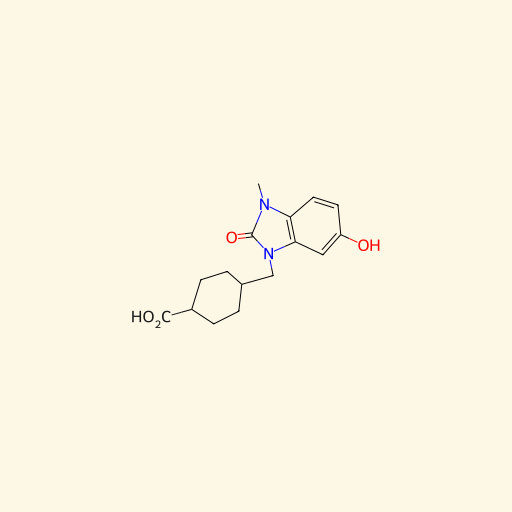 Cn1c(=O)n(CC2CCC(C(=O)O)CC2)c2cc(O)ccc21